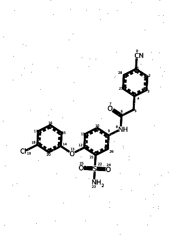 N#Cc1ccc(CC(=O)Nc2ccc(Oc3cccc(Cl)c3)c(S(N)(=O)=O)c2)cc1